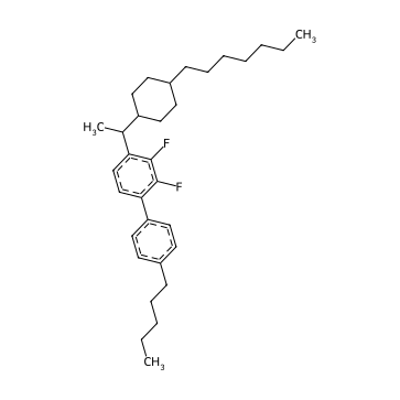 CCCCCCCC1CCC(C(C)c2ccc(-c3ccc(CCCCC)cc3)c(F)c2F)CC1